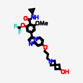 COc1cc(-c2cnc3cc(OCCCN4CC5(CC(O)C5)C4)ccn23)cc(OC(F)F)c1C(=O)NC1CC1